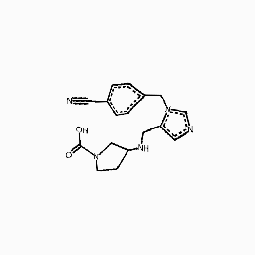 N#Cc1ccc(Cn2cncc2CNC2CCN(C(=O)O)C2)cc1